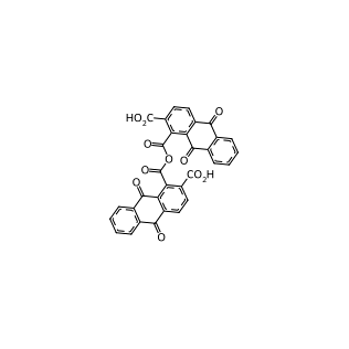 O=C(O)c1ccc2c(c1C(=O)OC(=O)c1c(C(=O)O)ccc3c1C(=O)c1ccccc1C3=O)C(=O)c1ccccc1C2=O